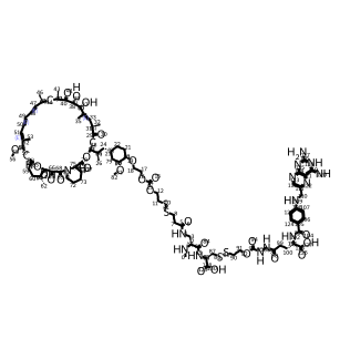 CN[C@@H](CNC(=O)CCSSCCOC(=O)OCCO[C@@H]1CC[C@@H](C[C@@H](C)[C@@H]2CC(=O)[C@H](C)/C=C(\C)[C@@H](O)[C@@H](O)C(=O)[C@H](C)C[C@H](C)/C=C/C=C/C=C(\C)[C@@H](OC)C[C@@H]3CC[C@@H](C)[C@@](O)(O3)C(=O)C(=O)N3CCCC[C@H]3C(=O)O2)C[C@H]1OC)C(=O)N[C@@H](CSSCCOC(=O)NNC(=O)CC[C@H](NC(=O)c1ccc(NCc2cnc3nc(N)[nH]c(=N)c3n2)cc1)C(=O)O)C(=O)O